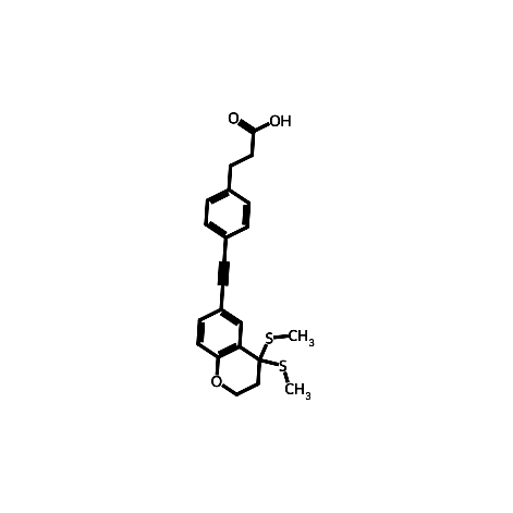 CSC1(SC)CCOc2ccc(C#Cc3ccc(CCC(=O)O)cc3)cc21